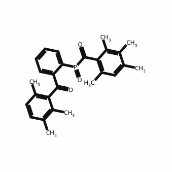 Cc1cc(C)c(C(=O)[P](=O)c2ccccc2C(=O)c2c(C)ccc(C)c2C)c(C)c1C